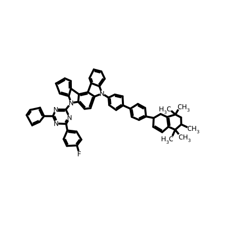 CC1CC(C)(C)C2=C(C=CC(c3ccc(-c4ccc(-n5c6ccccc6c6c7c8ccccc8n(-c8nc(-c9ccccc9)nc(-c9ccc(F)cc9)n8)c7ccc65)cc4)cc3)C2)C1(C)C